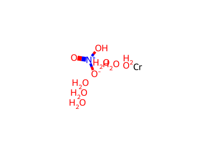 O.O.O.O.O.O.O=[N+]([O-])O.[Cr]